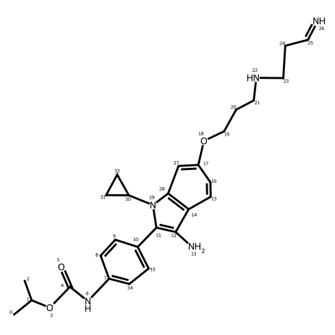 CC(C)OC(=O)Nc1ccc(-c2c(N)c3ccc(OCCCNCCC=N)cc3n2C2CC2)cc1